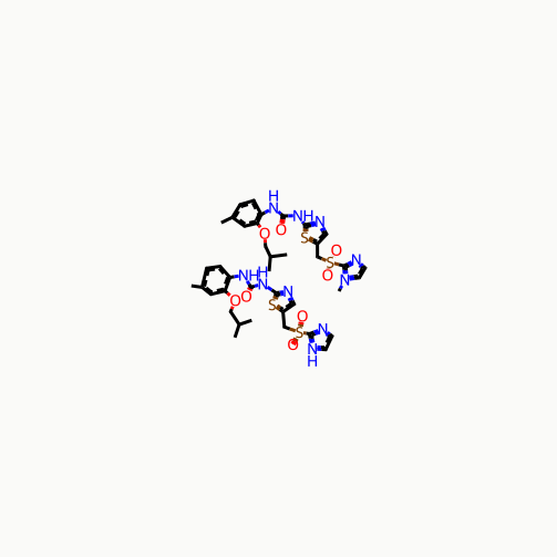 Cc1ccc(NC(=O)Nc2ncc(CS(=O)(=O)c3ncc[nH]3)s2)c(OCC(C)C)c1.Cc1ccc(NC(=O)Nc2ncc(CS(=O)(=O)c3nccn3C)s2)c(OCC(C)C)c1